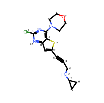 Clc1nc(N2CCOCC2)c2sc(C#CCNC3CC3)cc2n1